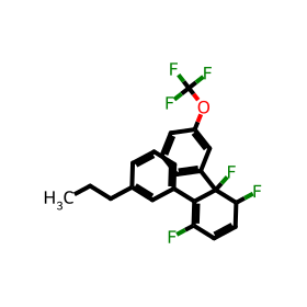 CCCc1cccc(C2=C(F)C=CC(F)C2(F)c2cccc(OC(F)(F)F)c2)c1